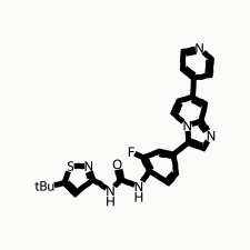 CC(C)(C)c1cc(NC(=O)Nc2ccc(-c3cnc4cc(-c5ccncc5)ccn34)cc2F)ns1